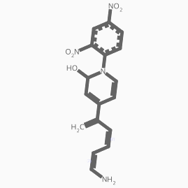 C=C(/C=C\C=C/N)C1=CC(O)N(c2ccc([N+](=O)[O-])cc2[N+](=O)[O-])C=C1